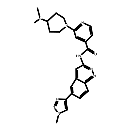 CN(C)C1CCN(c2cc(C(=O)Nc3cc4cc(-c5cn(C)nn5)ccc4nn3)ccn2)CC1